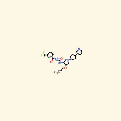 CCCO[C@H]1CN(C2CCC(c3cccnc3)CC2)C[C@@H]1NC(=O)CNC(=O)c1cccc(C(F)(F)F)c1